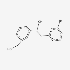 OCc1cccc(C(O)Cc2cccc(Br)n2)c1